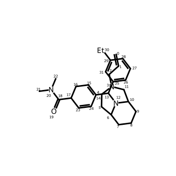 C=CCN1CCC2CCCC(C1)N2C(C1=CCC(C(=O)N(C)C)C=C1)c1cccc(CC)c1